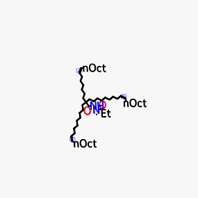 [CH2]CC(=O)[N]NC(=O)C(CCCCCC/C=C\CCCCCCCC)(CCCCCCCC/C=C\CCCCCCCC)CCCCCCCC/C=C\CCCCCCCC